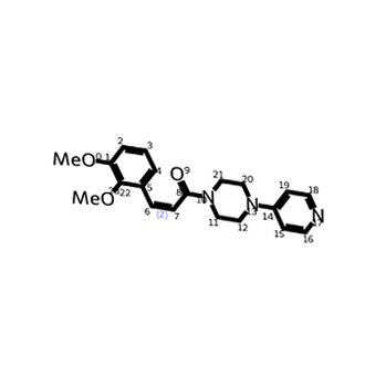 COc1cccc(/C=C\C(=O)N2CCN(c3ccncc3)CC2)c1OC